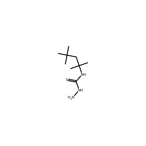 CC(C)(C)CC(C)(C)NC(=S)NN